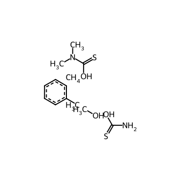 C.CN(C)C(O)=S.CO.Cc1ccccc1.NC(O)=S